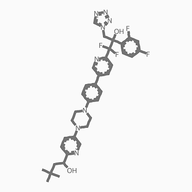 CC(C)(C)CC(O)c1ccc(N2CCN(c3ccc(-c4ccc(C(F)(F)C(O)(Cn5cnnn5)c5ccc(F)cc5F)nc4)cc3)CC2)cn1